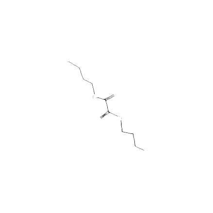 O=C(NCCCCl)C(=O)NCCCCl